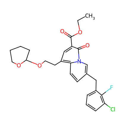 CCOC(=O)c1cc(CCOC2CCCCO2)c2ccc(Cc3cccc(Cl)c3F)cn2c1=O